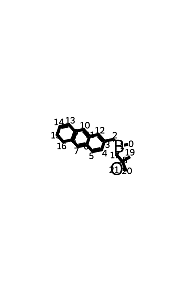 CB(Cc1ccc2cc3c(cc2c1)C=CCC3)CC1(C)CO1